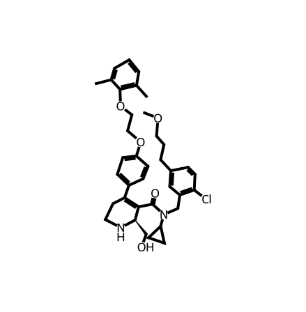 COCCCc1ccc(Cl)c(CN(C(=O)C2=C(c3ccc(OCCOc4c(C)cccc4C)cc3)CCN[C@@H]2CO)C2CC2)c1